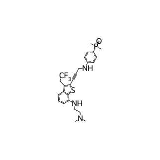 CN(C)CCNc1cccc2c(CC(F)(F)F)c(C#CCNc3ccc(P(C)(C)=O)cc3)sc12